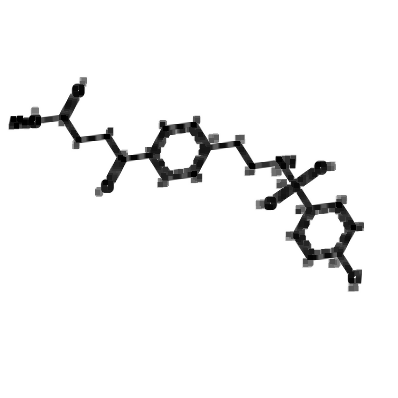 COC(=O)CCC(=O)c1ccc(CCNS(=O)(=O)c2ccc(Cl)cc2)cc1